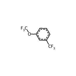 FC(F)(F)Oc1cccc(C(F)(F)F)c1